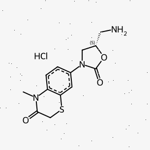 CN1C(=O)CSc2cc(N3C[C@H](CN)OC3=O)ccc21.Cl